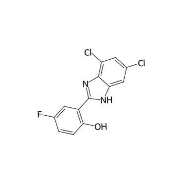 Oc1ccc(F)cc1-c1nc2c(Cl)cc(Cl)cc2[nH]1